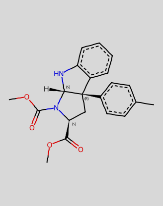 COC(=O)[C@@H]1C[C@@]2(c3ccc(C)cc3)c3ccccc3N[C@H]2N1C(=O)OC